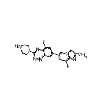 Cc1cn2cc(-c3cc(F)c4nc(C5CCNCC5)nnc4c3)cc(F)c2n1